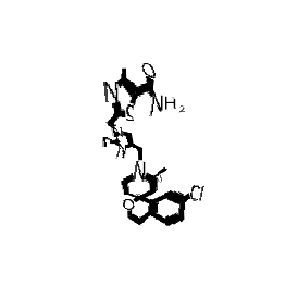 Cc1nc(Cn2cc(CN3CC[C@]4(C[C@@H]3C)OCCc3ccc(Cl)cc34)nn2)sc1C(N)=O